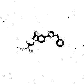 Cc1cn(CC(=O)N(C)C)c2ccc(-c3ncn(Cc4ccccn4)n3)cc12